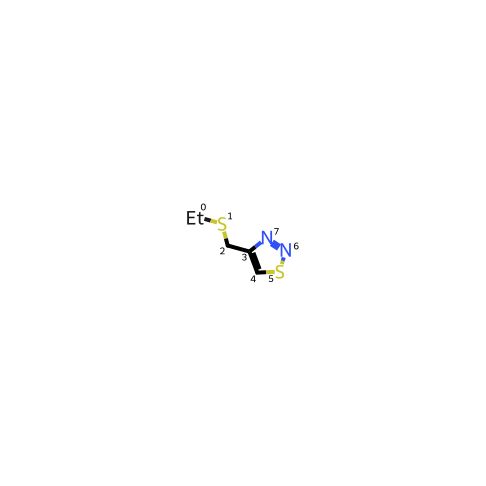 CCSCc1csnn1